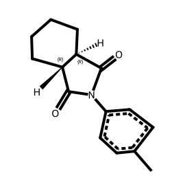 Cc1ccc(N2C(=O)[C@@H]3CCCC[C@H]3C2=O)cc1